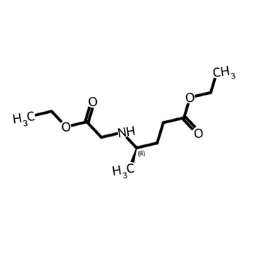 CCOC(=O)CC[C@@H](C)NCC(=O)OCC